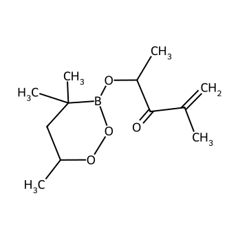 C=C(C)C(=O)C(C)OB1OOC(C)CC1(C)C